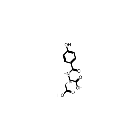 O=C(O)C[C@H](NC(=O)c1ccc(O)cc1)C(=O)O